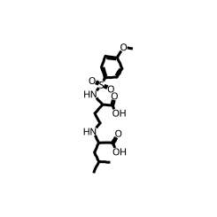 COc1ccc(S(=O)(=O)NC(CCNC(CC(C)C)C(=O)O)C(=O)O)cc1